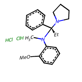 CC[C@@](c1ccccc1)(N1CCCC1)N(C)c1ccccc1OC.Cl.Cl